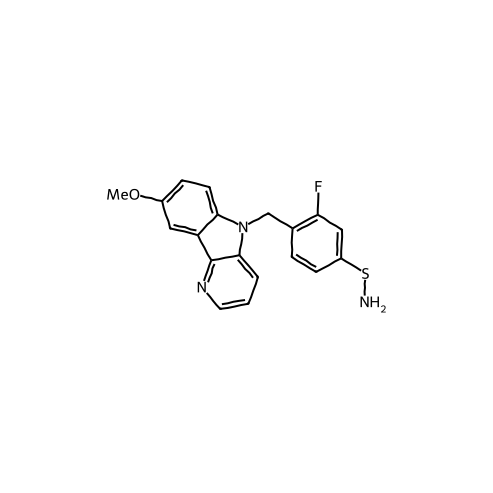 COc1ccc2c(c1)c1ncccc1n2Cc1ccc(SN)cc1F